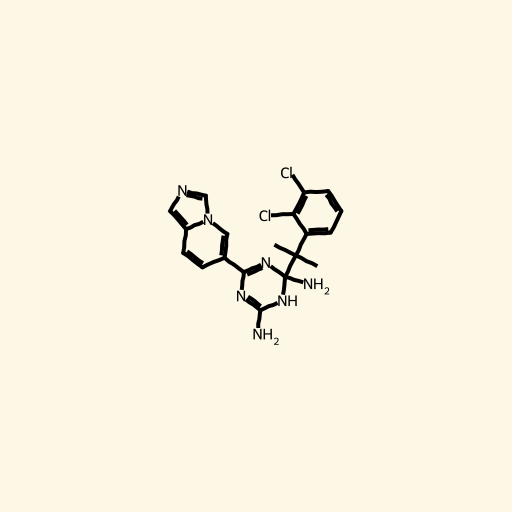 CC(C)(c1cccc(Cl)c1Cl)C1(N)N=C(c2ccc3cncn3c2)N=C(N)N1